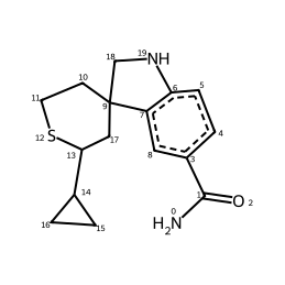 NC(=O)c1ccc2c(c1)C1(CCSC(C3CC3)C1)CN2